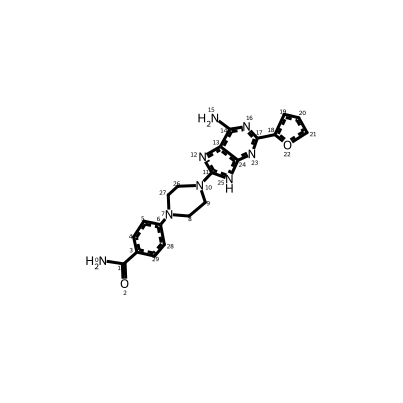 NC(=O)c1ccc(N2CCN(c3nc4c(N)nc(-c5ccco5)nc4[nH]3)CC2)cc1